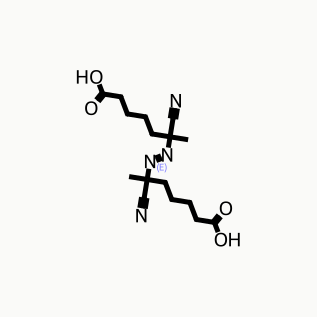 CC(C#N)(CCCCC(=O)O)/N=N/C(C)(C#N)CCCCC(=O)O